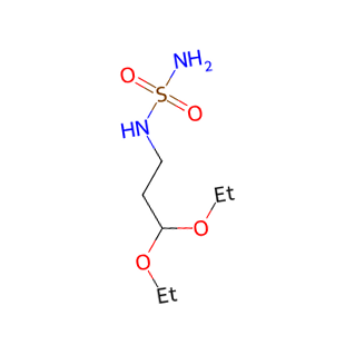 CCOC(CCNS(N)(=O)=O)OCC